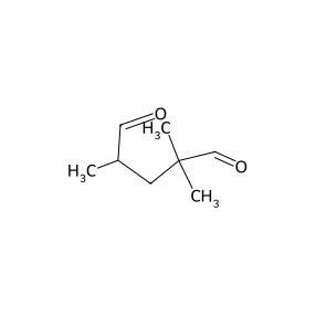 CC(C=O)CC(C)(C)C=O